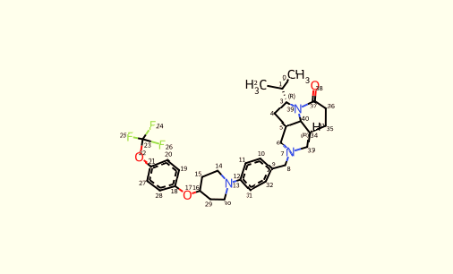 CC(C)[C@H]1CC2CN(Cc3ccc(N4CCC(Oc5ccc(OC(F)(F)F)cc5)CC4)cc3)C[C@H]3CCC(=O)N1C23